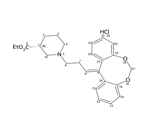 CCOC(=O)[C@@H]1CCCN(CCC=C2c3ccccc3OCOc3ccccc32)C1.Cl